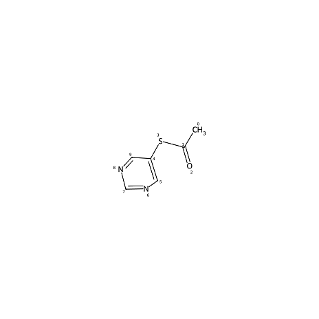 CC(=O)Sc1cncnc1